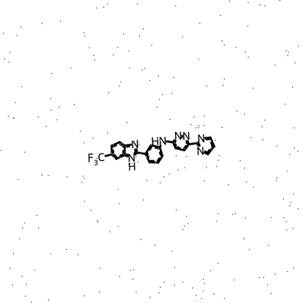 FC(F)(F)c1ccc2nc(-c3cccc(Nc4ccc(-c5ncccn5)nn4)c3)[nH]c2c1